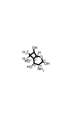 CC1(C)C(O)[C@H]2O[C@@H](O)[C@H](N)[C@@H](O)[C@]21O